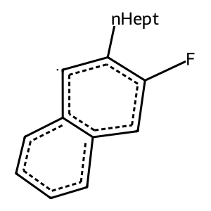 CCCCCCCc1[c]c2ccccc2cc1F